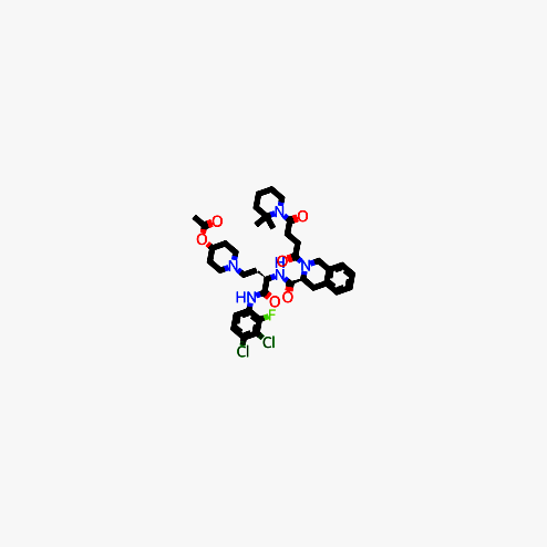 CC(=O)OC1CCN(CC[C@H](NC(=O)[C@@H]2Cc3ccccc3CN2C(=O)CCC(=O)N2CCCCC2(C)C)C(=O)Nc2ccc(Cl)c(Cl)c2F)CC1